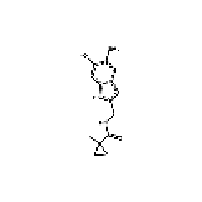 CSc1cc2cc(CNC(=O)C3(C)CC3)[nH]c2cc1O